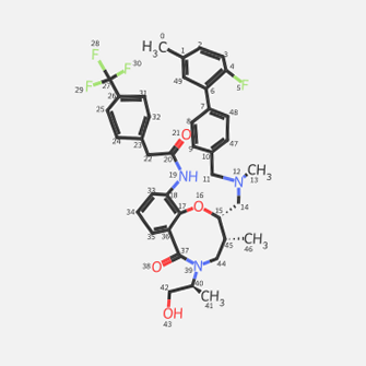 Cc1ccc(F)c(-c2ccc(CN(C)C[C@H]3Oc4c(NC(=O)Cc5ccc(C(F)(F)F)cc5)cccc4C(=O)N([C@@H](C)CO)C[C@H]3C)cc2)c1